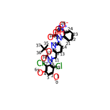 COc1cc(OC)c(Cl)c(N(Cc2ccc(N(C(=O)O)c3ccccc3[N+](=O)[O-])nc2)C(=O)OC(C)(C)C)c1Cl